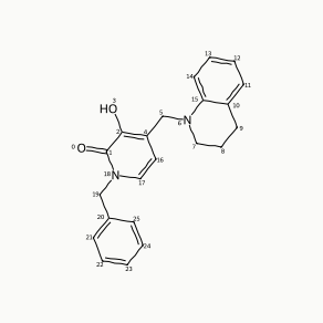 O=c1c(O)c(CN2CCCc3ccccc32)ccn1Cc1ccccc1